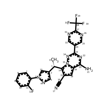 C[C@@H](c1cnn(-c2ccccc2F)c1)c1c(C#N)cc2c(N)nc(-c3cnc(C(F)(F)F)nc3)nn12